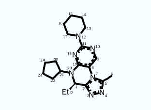 CC[C@@H]1c2nnc(C)n2-c2cnc(N3CCCCC3)nc2N1C1CCCC1